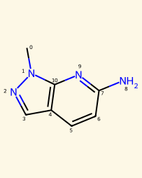 Cn1ncc2ccc(N)nc21